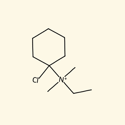 CC[N+](C)(C)C1(Cl)CCCCC1